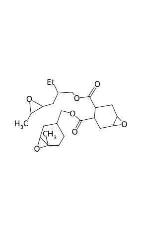 CCC(COC(=O)C1CC2OC2CC1C(=O)OCC1CCC2(C)OC2C1)CC1OC1C